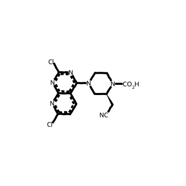 N#CC[C@H]1CN(c2nc(Cl)nc3nc(Cl)ccc23)CCN1C(=O)O